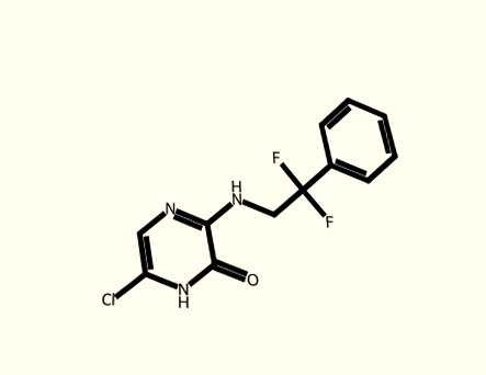 O=c1[nH]c(Cl)cnc1NCC(F)(F)c1ccccc1